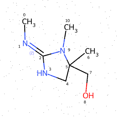 C/N=C1/NCC(C)(CO)N1C